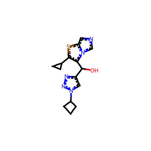 OC(c1cn(C2CCC2)nn1)c1c(C2CC2)sc2cncn12